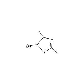 CCC(C)C1SC(C)=CC1C